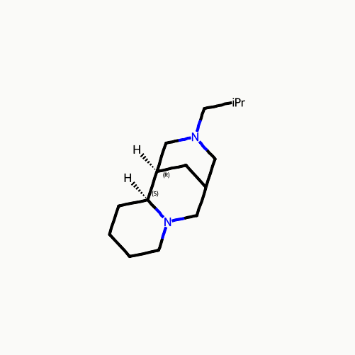 CC(C)CN1CC2C[C@H](C1)[C@@H]1CCCCN1C2